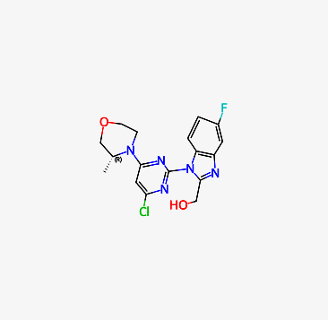 C[C@@H]1COCCN1c1cc(Cl)nc(-n2c(CO)nc3cc(F)ccc32)n1